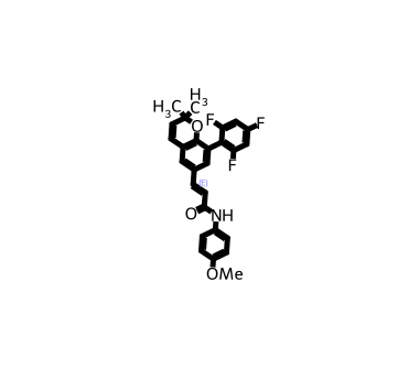 COc1ccc(NC(=O)/C=C/c2cc3c(c(-c4c(F)cc(F)cc4F)c2)OC(C)(C)C=C3)cc1